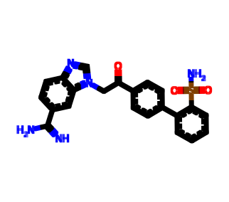 N=C(N)c1ccc2ncn(CC(=O)c3ccc(-c4ccccc4S(N)(=O)=O)cc3)c2c1